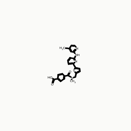 Cc1ccnc(Nc2cccc(-c3ccc(CN(C)C(=O)c4ccc(C(=O)O)cc4)s3)n2)c1